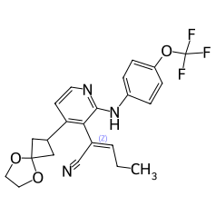 CC/C=C(\C#N)c1c(C2CC3(C2)OCCO3)ccnc1Nc1ccc(OC(F)(F)F)cc1